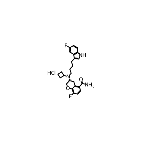 Cl.NC(=O)c1ccc(F)c2c1C[C@@H](N(CCCCc1c[nH]c3ccc(F)cc13)C1CCC1)CO2